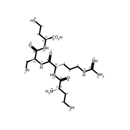 CC(C)C[C@H](NC(=O)[C@H](CCCNC(=N)N)NC(=O)[C@@H](N)CCS)C(=O)N[C@@H](CCS)C(=O)O